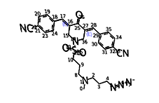 CN(CCCN=[N+]=[N-])CCCS(=O)(=O)N1C/C(=C\c2ccc(C#N)cc2)C(=O)/C(=C/c2ccc(C#N)cc2)C1